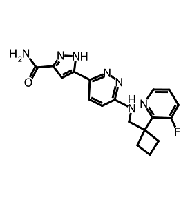 NC(=O)c1cc(-c2ccc(NCC3(c4ncccc4F)CCC3)nn2)[nH]n1